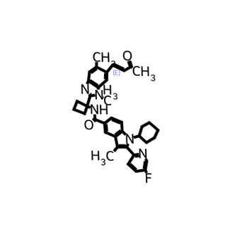 CC(=O)/C=C/c1cc2c(cc1C)nc(C1(NC(=O)c3ccc4c(c3)c(C)c(-c3ccc(F)cn3)n4C3CCCCC3)CCC1)n2C